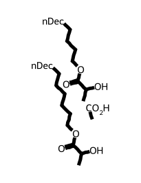 CC(=O)O.CCCCCCCCCCCCCCCCOC(=O)C(C)O.CCCCCCCCCCCCCCOC(=O)C(C)O